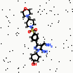 N=C1/C(=C\N)C(c2ccc(S(=O)(=O)N3CCC(N4CCOCC4)CC3)cc2)=NN1C1CCC(O)CC1